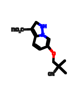 CCOC(=O)C1=C2C=CC(OCC(C)(C)N=O)=CN2NC1